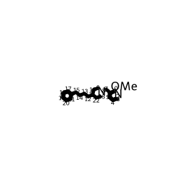 COc1ncccc1CN1CCC(CCCCc2ccccc2)CC1